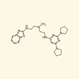 CN(CCNc1cc(N2CCCC2)nc(N2CCCC2)n1)CCNc1nc2ccccc2s1